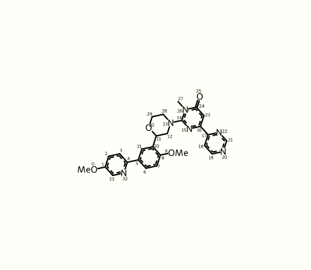 COc1ccc(-c2ccc(OC)c(C3CN(c4nc(-c5ccncn5)cc(=O)n4C)CCO3)c2)nc1